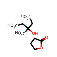 O=C(O)CC(O)(CC(=O)O)C(=O)O.O=C1CCCO1